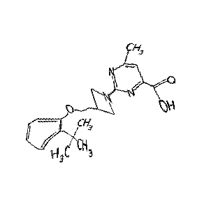 Cc1cc(C(=O)O)nc(N2CC(COc3ccccc3C(C)(C)C)C2)n1